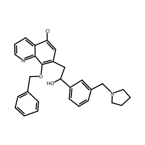 OC(Cc1cc(Cl)c2cccnc2c1OCc1ccccc1)c1cccc(CN2CCCC2)c1